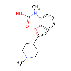 CN1CCC(c2cc3cccc(N(C)C(=O)O)c3o2)CC1